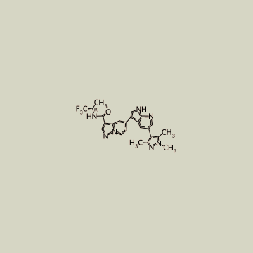 Cc1nn(C)c(C)c1-c1cnc2[nH]cc(-c3ccn4ncc(C(=O)N[C@H](C)C(F)(F)F)c4c3)c2c1